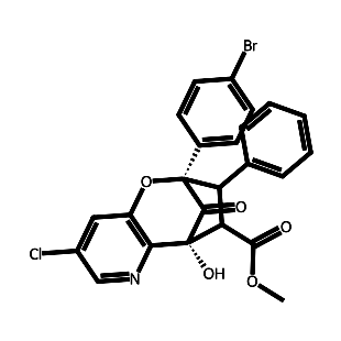 COC(=O)C1C(c2ccccc2)[C@]2(c3ccc(Br)cc3)Oc3cc(Cl)cnc3[C@@]1(O)C2=O